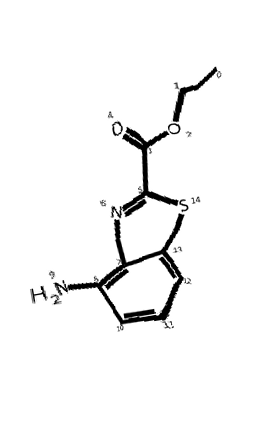 CCOC(=O)c1nc2c(N)cccc2s1